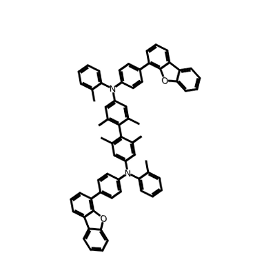 Cc1ccccc1N(c1ccc(-c2cccc3c2oc2ccccc23)cc1)c1cc(C)c(-c2c(C)cc(N(c3ccc(-c4cccc5c4oc4ccccc45)cc3)c3ccccc3C)cc2C)c(C)c1